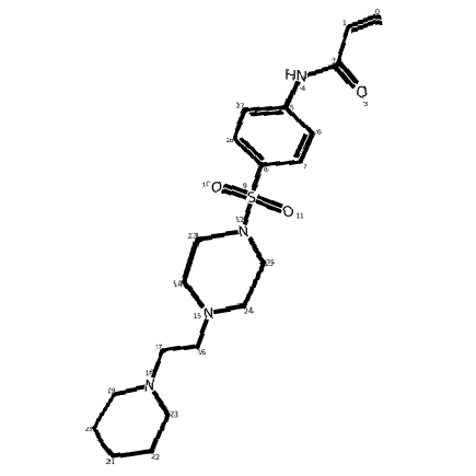 C=CC(=O)Nc1ccc(S(=O)(=O)N2CCN(CCN3CCCCC3)CC2)cc1